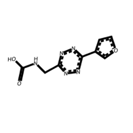 O=C(O)NCc1nnc(-c2ccoc2)nn1